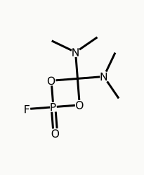 CN(C)C1(N(C)C)OP(=O)(F)O1